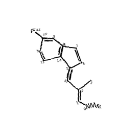 CN/C=C(C)/C=C1\C=Cc2cc(F)ccc21